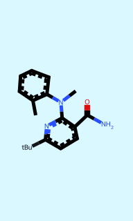 Cc1ccccc1N(C)c1nc(C(C)(C)C)ccc1C(N)=O